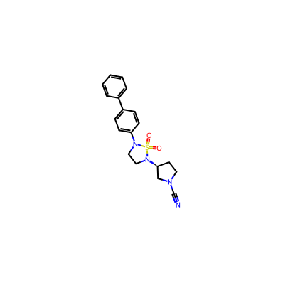 N#CN1CC[C@H](N2CCN(c3ccc(-c4ccccc4)cc3)S2(=O)=O)C1